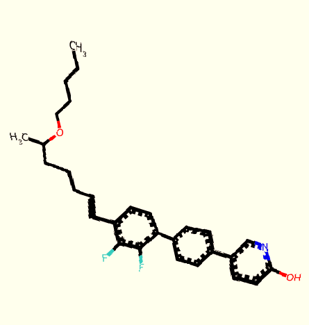 CCCCCOC(C)CCC/C=C/c1ccc(-c2ccc(-c3ccc(O)nc3)cc2)c(F)c1F